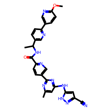 COc1ccc(-c2ccc(C(C)NC(=O)c3ccc(-c4nc(C)cc(Nc5cc(C#N)n[nH]5)n4)cn3)cn2)cn1